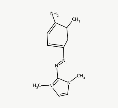 CC1CC(N=Nc2n(C)cc[n+]2C)=CC=C1N